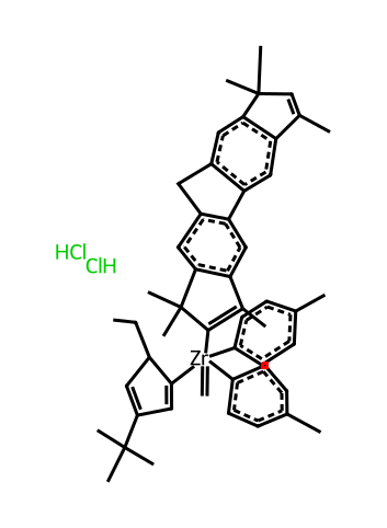 Cl.Cl.[CH2]=[Zr]([C]1=CC(C(C)(C)C)=CC1CC)([C]1=C(C)c2cc3c(cc2C1(C)C)Cc1cc2c(cc1-3)C(C)=CC2(C)C)([c]1ccc(C)cc1)[c]1ccc(C)cc1